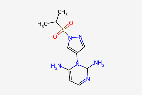 CC(C)S(=O)(=O)n1cc(N2C(N)=CC=NC2N)cn1